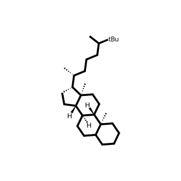 CC(CCC[C@@H](C)[C@H]1CC[C@H]2[C@@H]3CCC4CCCC[C@]4(C)[C@H]3CC[C@]12C)C(C)(C)C